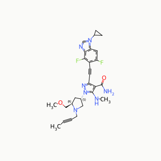 CC#CCN1C[C@@H](n2nc(C#Cc3c(F)cc4c(ncn4C4CC4)c3F)c(C(N)=O)c2NC)C[C@@H]1COC